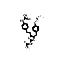 COOSc1ccc(Cc2sc(NC(C)=O)nc2CCc2ccc(NC(C)=N)cc2)cc1